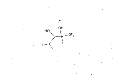 OC(C(F)F)C(O)(F)C(F)(F)F